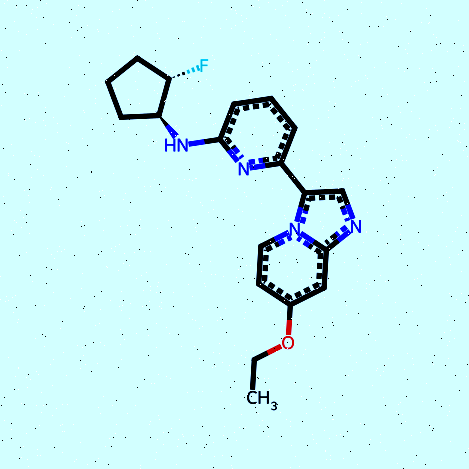 CCOc1ccn2c(-c3cccc(N[C@H]4CCC[C@@H]4F)n3)cnc2c1